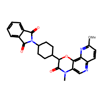 COc1ccc2ncc3c(c2n1)OC(C1CCC(N2C(=O)c4ccccc4C2=O)CC1)C(=O)N3C